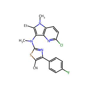 CCc1c(N(C)c2nc(-c3ccc(F)cc3)c(C#N)s2)c2nc(Cl)ccc2n1C